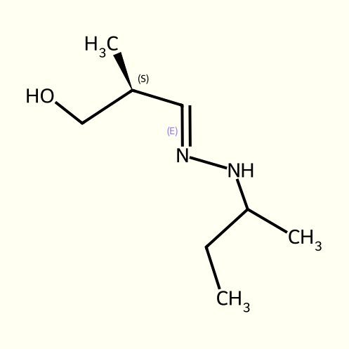 CCC(C)N/N=C/[C@H](C)CO